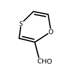 O=CC1=CSC=CO1